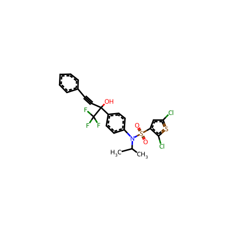 CC(C)N(c1ccc(C(O)(C#Cc2ccccc2)C(F)(F)F)cc1)S(=O)(=O)c1cc(Cl)sc1Cl